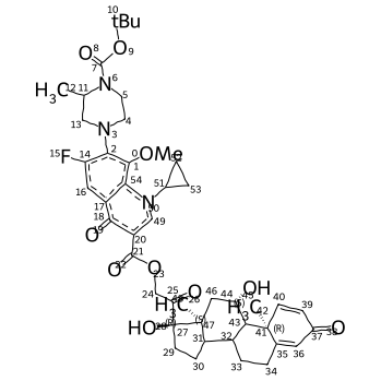 COc1c(N2CCN(C(=O)OC(C)(C)C)C(C)C2)c(F)cc2c(=O)c(C(=O)OCC(=O)[C@@]3(O)CCC4C5CCC6=CC(=O)C=C[C@]6(C)C5[C@@H](O)C[C@@]43C)cn(C3CC3)c12